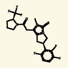 Cn1c(CC(=O)N2CCC[C@H]2C(F)(F)F)c2n(c1=S)C[C@@H](c1c(F)ccc(F)c1F)C2